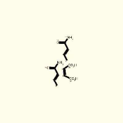 CC=CC(N)=O.CC=CC(N)=O.O=C(O)/C=C\C(=O)O